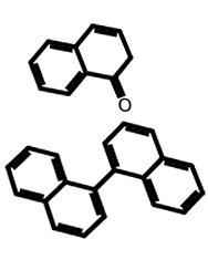 O=C1CC=Cc2ccccc21.c1ccc2c(-c3cccc4ccccc34)cccc2c1